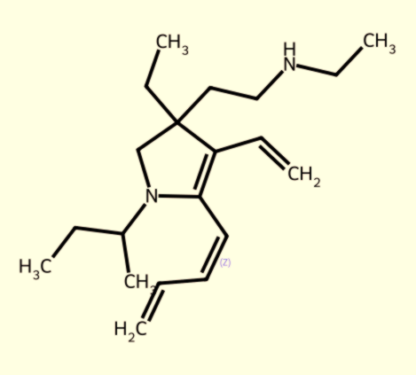 C=C/C=C\C1=C(C=C)C(CC)(CCNCC)CN1C(C)CC